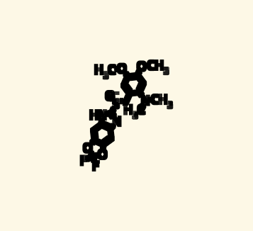 COc1cc(C[S+]([O-])c2nc3cc4c(cc3[nH]2)OC(F)(F)O4)c(N(C)C)cc1OC